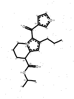 CCCc1cc2n(c1C(=O)c1ccoc1)CCCC2C(=O)OC(C)C